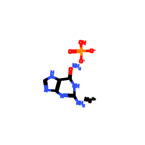 N.Nc1nc2nc[nH]c2c(=O)[nH]1.O=P([O-])([O-])O.[Mg+2]